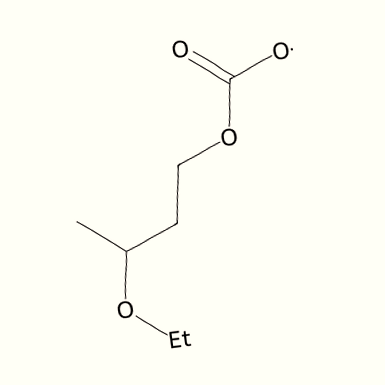 CCOC(C)CCOC([O])=O